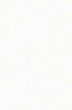 CC(=O)NCCCCC(CC1OCCO1)NC(C)=O